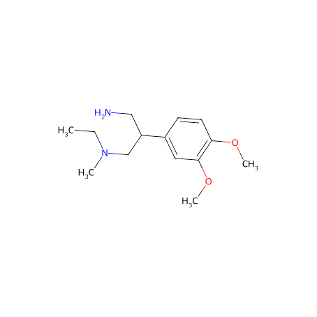 CCN(C)CC(CN)c1ccc(OC)c(OC)c1